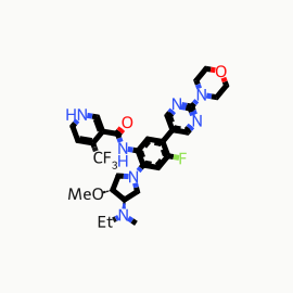 CCN(C)[C@@H]1CN(c2cc(F)c(-c3cnc(N4CCOCC4)nc3)cc2NC(=O)C2=CNCC=C2C(F)(F)F)C[C@H]1OC